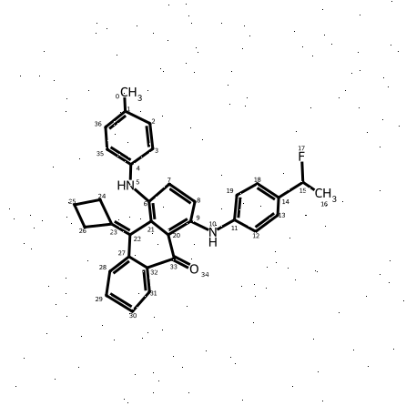 Cc1ccc(Nc2ccc(Nc3ccc(C(C)F)cc3)c3c2C(=C2CCC2)c2ccccc2C3=O)cc1